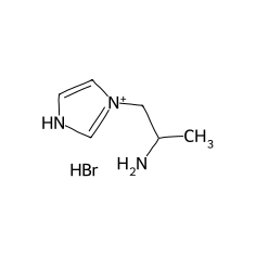 Br.CC(N)C[n+]1cc[nH]c1